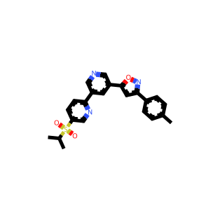 Cc1ccc(-c2cc(-c3cncc(-c4ccc(S(=O)(=O)C(C)C)cn4)c3)on2)cc1